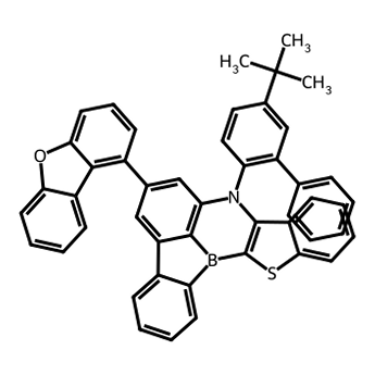 CC(C)(C)c1ccc(N2c3cc(-c4cccc5oc6ccccc6c45)cc4c3B(c3ccccc3-4)c3sc4ccccc4c32)c(-c2ccccc2)c1